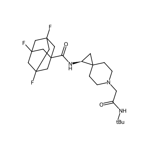 CC(C)(C)NC(=O)CN1CCC2(CC1)C[C@@H]2NC(=O)C12CC3(F)CC(F)(CC(F)(C3)C1)C2